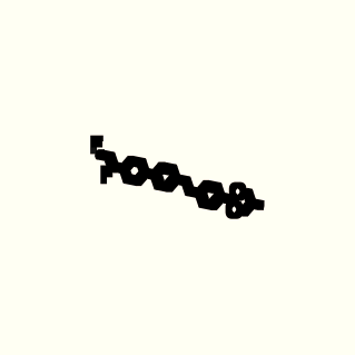 CC1COC(c2ccc(CCc3ccc(C4CCC(/C(F)=C/CF)CC4)cc3)cc2)OC1